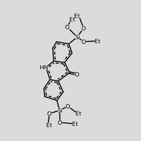 CCO[Si](OCC)(OCC)c1ccc2[nH]c3ccc([Si](OCC)(OCC)OCC)cc3c(=O)c2c1